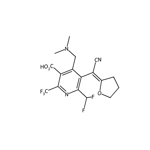 CN(C)Cc1c(C(C#N)=C2CCCO2)c(C(F)F)nc(C(F)(F)F)c1C(=O)O